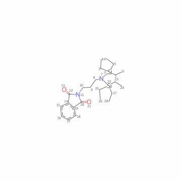 CC[Si](CC)(CC)N(CCCN1C(=O)c2ccccc2C1=O)[Si](CC)(CC)CC